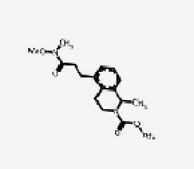 CON(C)C(=O)CCc1cccc2c1CCN(C(=O)OC(C)(C)C)C2C